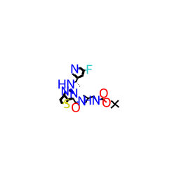 C[C@H](Nc1nc(C(=O)N2CC(CNC(=O)OCC(C)(C)C)C2)c2sccc2n1)c1cncc(F)c1